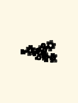 COC1C(n2cc(-c3nccs3)nn2)[C@H]2OC(c3ccccc3)OCC2O[C@@H]1Sc1cncc(Br)c1